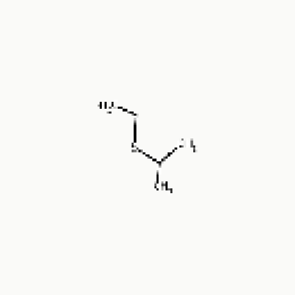 [CH2]CSC(C)C